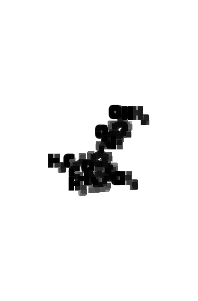 CC(C)COc1cc(CNC(=O)c2cccc(C(N)=O)c2)cc(CN(C)C2CCNC2)c1